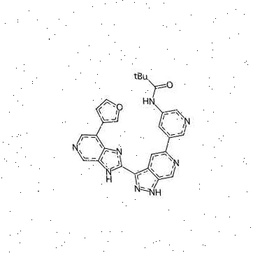 CC(C)(C)C(=O)Nc1cncc(-c2cc3c(-c4nc5c(-c6ccoc6)cncc5[nH]4)n[nH]c3cn2)c1